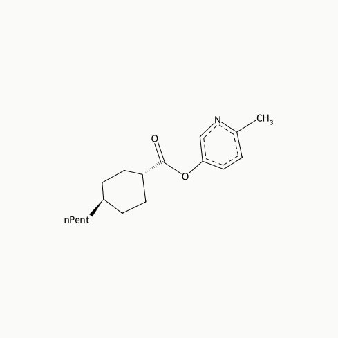 CCCCC[C@H]1CC[C@H](C(=O)Oc2ccc(C)nc2)CC1